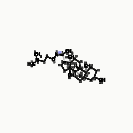 C/C(=N/OCCN(C)C)[C@H]1CC[C@@]2(O)[C@@H]3CCC4CC(O)CC[C@]4(C)[C@H]3CC[C@]12C